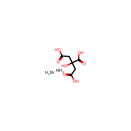 O=C(O)CC(O)(CC(=O)O)C(=O)O.[AlH3].[SbH3]